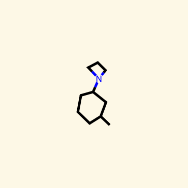 CC1CCCC(N2CCC2)C1